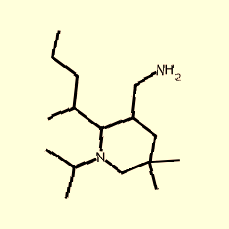 CCCC(C)C1C(CN)CC(C)(C)CN1C(C)C